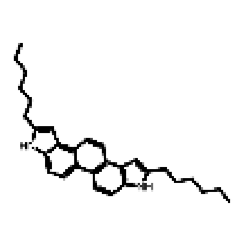 CCCCCCc1cc2c(ccc3c2ccc2c4cc(CCCCCC)[nH]c4ccc23)[nH]1